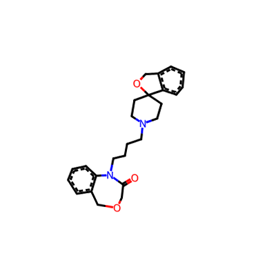 O=C1COCc2ccccc2N1CCCCN1CCC2(CC1)OCc1ccccc12